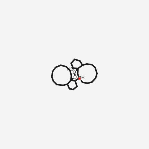 OC1CCCC2CCCCCCCCCCC12OOC12CCCCCCCCCCC1CCCC2O